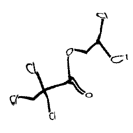 O=C(OC(Cl)Cl)C(Cl)(Cl)Cl